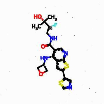 CC(C)(O)[C@H](F)CNC(=O)c1cnc2sc(-c3cncs3)cc2c1NC1COC1